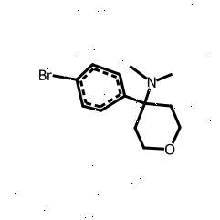 CN(C)C1(c2ccc(Br)cc2)CCOCC1